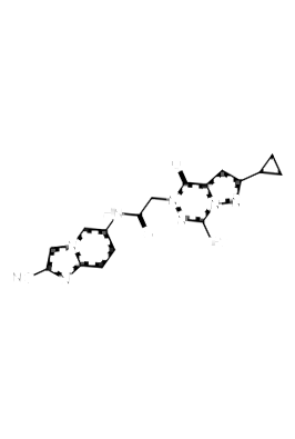 CC(C)c1nn(CC(=O)Nc2ccc3nc(C#N)cn3c2)c(=O)c2cc(C3CC3)nn12